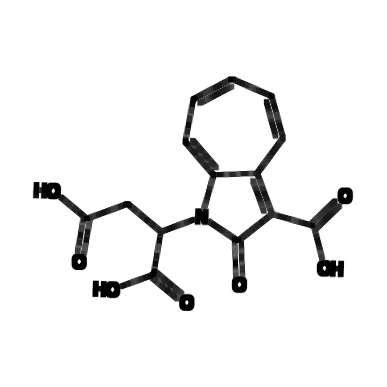 O=C(O)CC(C(=O)O)n1c2cccccc-2c(C(=O)O)c1=O